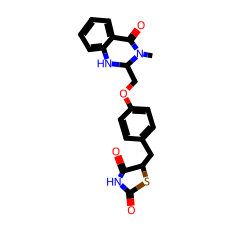 CN1C(=O)c2ccccc2NC1COc1ccc(CC2SC(=O)NC2=O)cc1